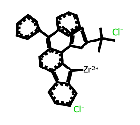 CC1=C(c2c3c(ccc2=C(c2ccccc2)c2ccccc2)=c2ccccc2=[C]3[Zr+2])CC(C(C)(C)C)=C1.[Cl-].[Cl-]